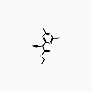 CCOC(=O)C(C#N)c1nc(Cl)nc(Cl)n1